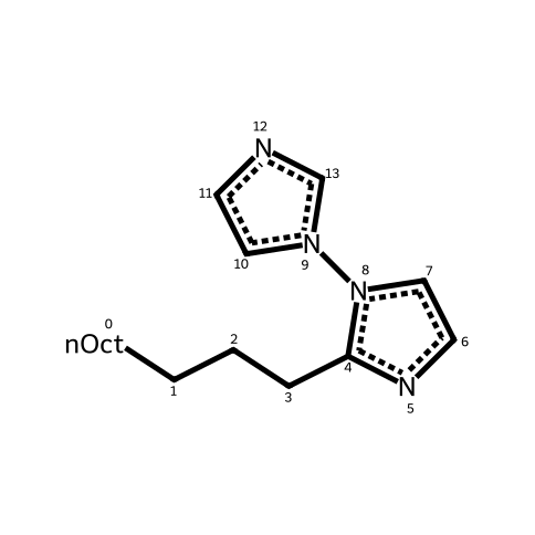 CCCCCCCCCCCc1nccn1-n1ccnc1